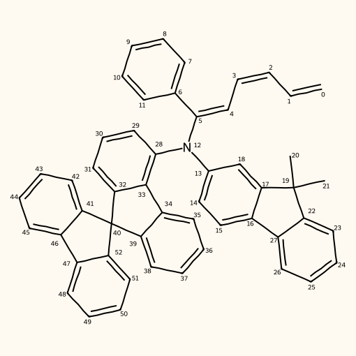 C=C/C=C\C=C(/c1ccccc1)N(c1ccc2c(c1)C(C)(C)c1ccccc1-2)c1cccc2c1-c1ccccc1C21c2ccccc2-c2ccccc21